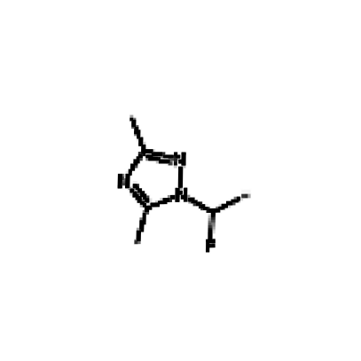 Cc1nc(C)n(C(F)F)n1